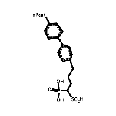 CCCCCc1ccc(-c2ccc(CCCC(P(=O)(O)O)S(=O)(=O)O)cc2)cc1